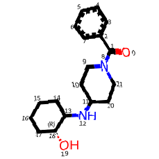 O=C(c1ccccc1)N1CCC(NC2CCCC[C@H]2O)CC1